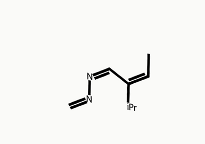 C=N/N=C\C(=C/C)C(C)C